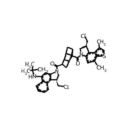 Cc1cc2c(c3c(C)csc13)[C@H](CCl)CN2C(=O)C12C3C4C1C1C2C3C41C(=O)N1C[C@@H](CCl)c2c1cc(NC(C)(C)C)c1ccccc21